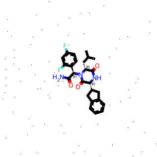 CC(C)C[C@@H]1C(=O)N[C@H](C2Cc3ccccc3C2)C(=O)N1[C@@H](C(N)=O)c1ccc(F)cc1F